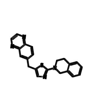 c1ccc2c(c1)CCN(c1ncc(Cc3ccc4nccnc4c3)s1)C2